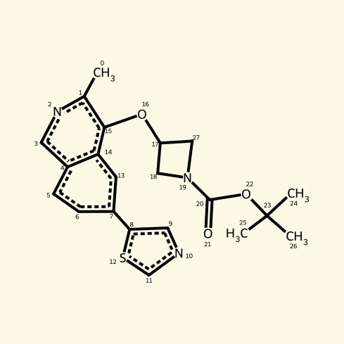 Cc1ncc2ccc(-c3cncs3)cc2c1OC1CN(C(=O)OC(C)(C)C)C1